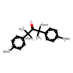 CCCCCC(C)(C(=O)C(C)(CCCCC)c1ccc(OC)cc1)c1ccc(OC)cc1